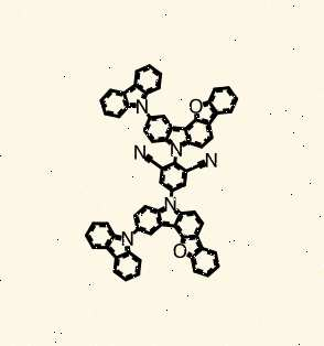 N#Cc1cc(-n2c3ccc(-n4c5ccccc5c5ccccc54)cc3c3c4oc5ccccc5c4ccc32)cc(C#N)c1-n1c2ccc(-n3c4ccccc4c4ccccc43)cc2c2c3oc4ccccc4c3ccc21